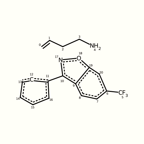 C=CCCN.FC(F)(F)c1ccc2c(-c3ccccc3)noc2c1